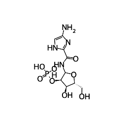 Nc1c[nH]c(C(=O)NC2O[C@H](CO)[C@@H](O)[C@H]2OP(=O)(O)O)n1